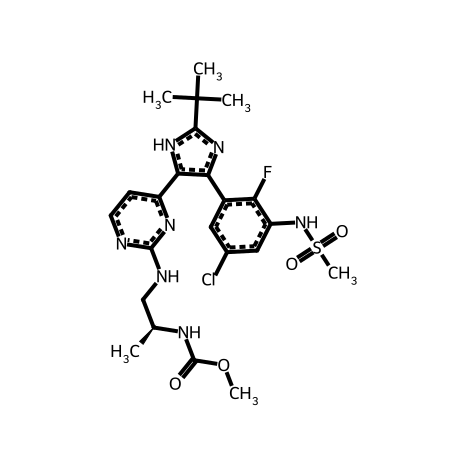 COC(=O)N[C@@H](C)CNc1nccc(-c2[nH]c(C(C)(C)C)nc2-c2cc(Cl)cc(NS(C)(=O)=O)c2F)n1